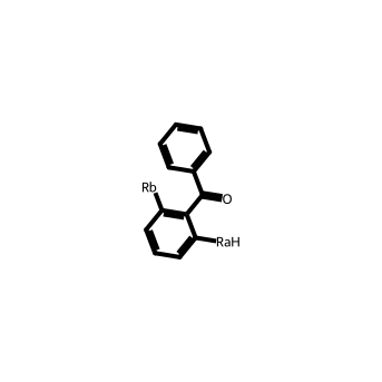 O=C(c1ccccc1)c1[c]([Rb])ccc[c]1[RaH]